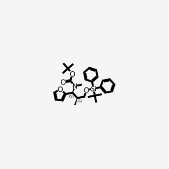 C[C@H](CO[Si](c1ccccc1)(c1ccccc1)C(C)(C)C)[C@@H](c1ccco1)N(C)C(=O)OC(C)(C)C